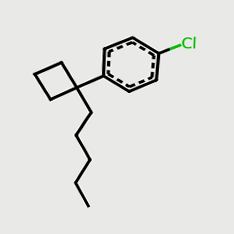 CCCCCC1(c2ccc(Cl)cc2)CCC1